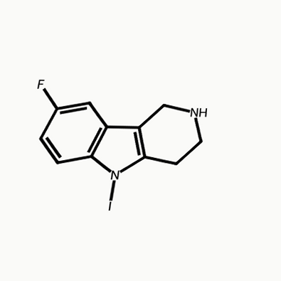 Fc1ccc2c(c1)c1c(n2I)CCNC1